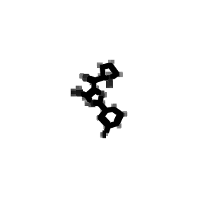 O=C(c1sc(C2C=C(F)C=CC2)nc1O)C1CCCN1